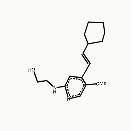 COc1cnc(NCCO)cc1/C=C/C1CCCCC1